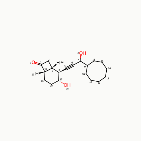 O=C1C[C@@H]2[C@@H](C#C[C@@H](O)C3CCCCCCC3)[C@H](O)CC[C@H]12